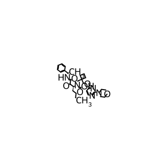 CCCC[C@@H](C(=O)C(=O)N[C@H](C)c1ccccc1)N(CC1(COc2ccnc(N3CCOCC3)n2)CCC1)C(=O)O